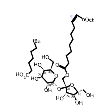 CC(C)(C)CCCCCC(=O)O.CCCCCCCC/C=C\CCCCCCCC(=O)OC[C@@]1(O[C@H]2O[C@H](CO)[C@@H](O)[C@H](O)[C@H]2O)O[C@H](CO)[C@@H](O)[C@@H]1O